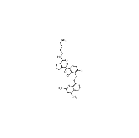 Cc1cc(C)c2cccc(OCc3c(Cl)ccc(S(=O)(=O)N4CCC[C@H]4C(=O)NCCCCN)c3Cl)c2n1